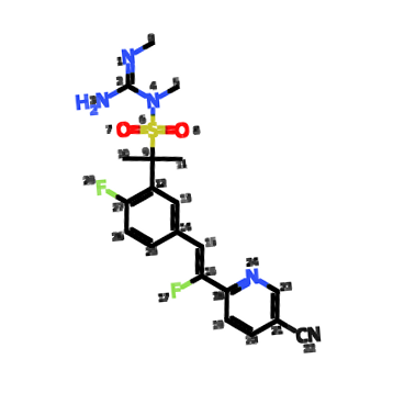 C/N=C(/N)N(C)S(=O)(=O)C(C)(C)c1cc(/C=C(\F)c2ccc(C#N)cn2)ccc1F